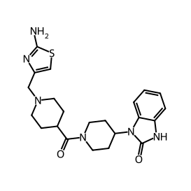 Nc1nc(CN2CCC(C(=O)N3CCC(n4c(=O)[nH]c5ccccc54)CC3)CC2)cs1